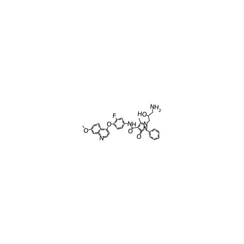 COc1ccc2c(Oc3ccc(NC(=O)c4c(C)n(CC(O)CN)n(-c5ccccc5)c4=O)cc3F)ccnc2c1